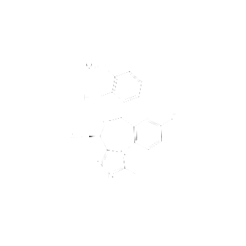 COc1cccc([C@H]2O[C@H](OC(C)=O)c3nnc(C(F)(F)F)n3-c3ccc(F)cc32)c1C